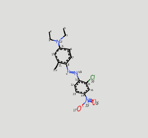 CCN(CC)c1ccc(N=Nc2ccc([N+](=O)[O-])cc2Cl)c(C)c1